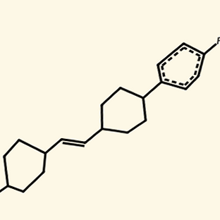 CC1CCC(C=CC2CCC(c3ccc(F)cc3)CC2)CC1